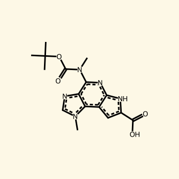 CN(C(=O)OC(C)(C)C)c1nc2[nH]c(C(=O)O)cc2c2c1ncn2C